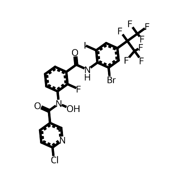 O=C(Nc1c(Br)cc(C(F)(C(F)(F)F)C(F)(F)F)cc1I)c1cccc(N(O)C(=O)c2ccc(Cl)nc2)c1F